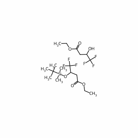 CCOC(=O)CC(O)C(F)(F)F.CCOC(=O)CC(O[Si](C)(C)C(C)(C)C)C(F)(F)F